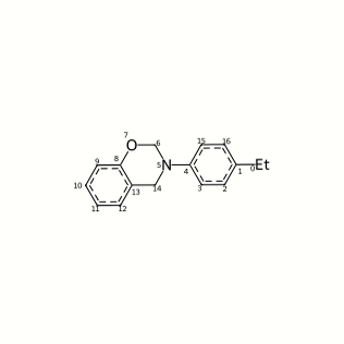 CCc1ccc(N2COc3ccccc3C2)cc1